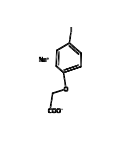 O=C([O-])COc1ccc(I)cc1.[Na+]